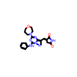 O=C1C/C(=C\c2cnn3c(Nc4ccccc4)nc(N4CCCOCC4)nc23)C(=O)N1